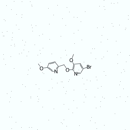 COc1ccc(COc2ncc(Br)cc2OC)nc1